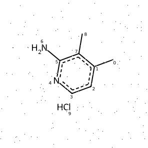 Cc1ccnc(N)c1C.Cl